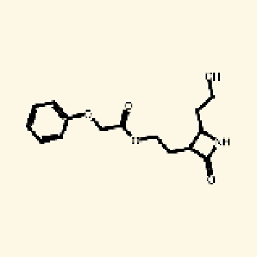 O=C(COc1ccccc1)OCCC1C(=O)NC1CCO